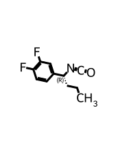 CCC[C@@H](N=C=O)c1ccc(F)c(F)c1